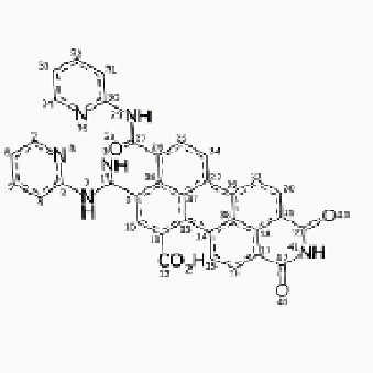 N=C(Nc1ccccn1)c1cc(C(=O)O)c2c3ccc4c5c(ccc(c6ccc(C(=O)Nc7ccccn7)c1c62)c53)C(=O)NC4=O